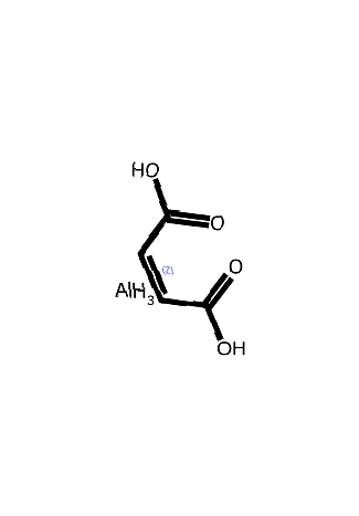 O=C(O)/C=C\C(=O)O.[AlH3]